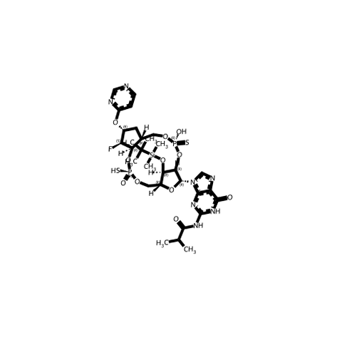 CC(C)C(=O)Nc1nc2c(ncn2[C@@H]2O[C@@H]3CO[P@@](=O)(S)O[C@@H]4[C@@H](CO[P@@](O)(=S)O[C@@H]2[C@@H]3O[Si](C)(C)C(C)(C)C)C[C@@H](Oc2ccncn2)[C@@H]4F)c(=O)[nH]1